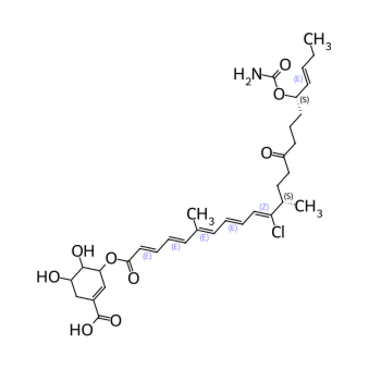 CC/C=C/[C@H](CCCC(=O)CC[C@H](C)/C(Cl)=C/C=C/C=C(C)/C=C/C=C/C(=O)OC1C=C(C(=O)O)CC(O)C1O)OC(N)=O